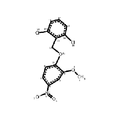 COc1cc([N+](=O)[O-])ccc1OCc1c(Cl)cccc1Cl